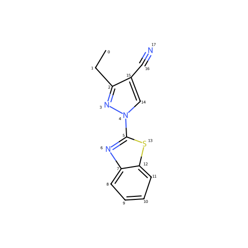 CCc1nn(-c2nc3ccccc3s2)cc1C#N